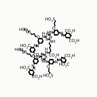 O=C(O)c1ccc(C(=O)O)c(N=Nc2ccc(Nc3nc(NCCCCC(Nc4nc(Nc5ccc(N=Nc6cc(C(=O)O)ccc6C(=O)O)cc5OCCCSOOO)nc(Nc5ccc(N=Nc6cc(C(=O)O)ccc6C(=O)O)cc5OCCCS(=O)(=O)O)n4)C(=O)O)nc(Nc4ccc(N=Nc5cc(C(=O)O)ccc5C(=O)O)cc4OCCCS(=O)(=O)O)n3)c(OCCCSOOO)c2)c1